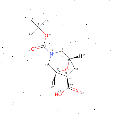 CC(C)(C)OC(=O)N1C[C@@H]2C[C@@H](C(=O)O)[C@H](C1)O2